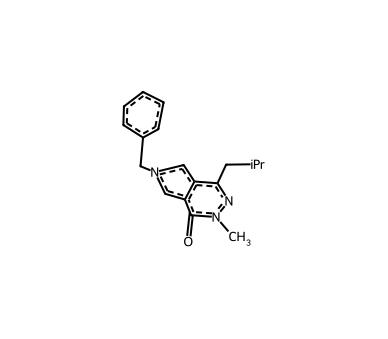 CC(C)Cc1nn(C)c(=O)c2cn(Cc3ccccc3)cc12